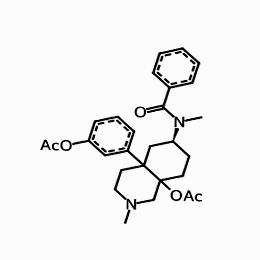 CC(=O)Oc1cccc(C23CCN(C)CC2(OC(C)=O)CC[C@H](N(C)C(=O)c2ccccc2)C3)c1